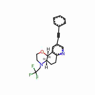 FC(F)(F)CN1CCO[C@@H]2c3cc(C#Cc4ccccc4)cnc3CC[C@@H]21